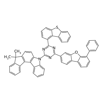 CC1(C)c2ccccc2-c2c1ccc1c2c2ccccc2n1-c1nc(-c2ccc3c(c2)oc2c(-c4ccccc4)cccc23)nc(-c2cccc3sc4ccccc4c23)n1